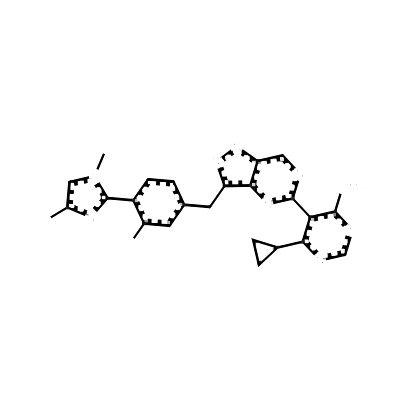 COc1ncnc(C2CC2)c1-c1ncc2[nH]nc(Cc3ccc(-c4nc(C(F)(F)F)cn4C)c(F)c3)c2n1